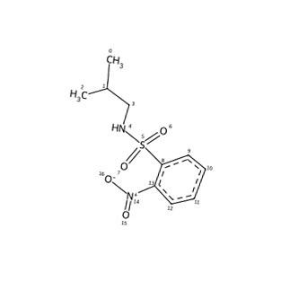 CC(C)CNS(=O)(=O)c1ccccc1[N+](=O)[O-]